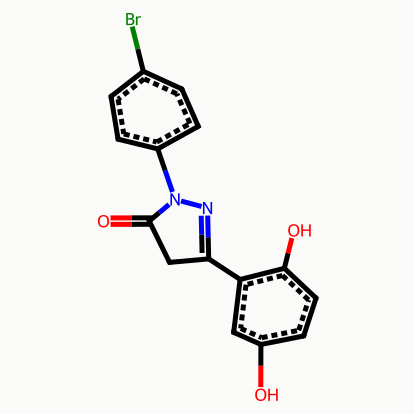 O=C1CC(c2cc(O)ccc2O)=NN1c1ccc(Br)cc1